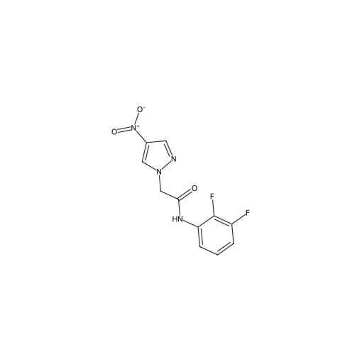 O=C(Cn1cc([N+](=O)[O-])cn1)Nc1cccc(F)c1F